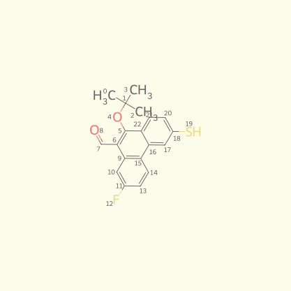 CC(C)(C)Oc1c(C=O)c2cc(F)ccc2c2cc(S)ccc12